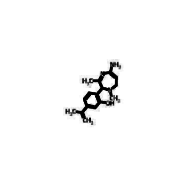 C=C(C)c1ccc(C2C(C)=NC(N)=CCN2C)c(O)c1